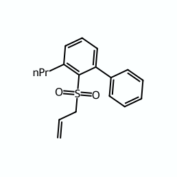 C=CCS(=O)(=O)c1c(CCC)cccc1-c1ccccc1